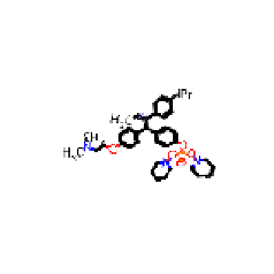 C/C=C(/c1ccc(C(C)C)cc1)C(c1ccc(OCCN(C)C)cc1)c1ccc(OP(=O)(ON2CCCCC2)ON2CCCCC2)cc1